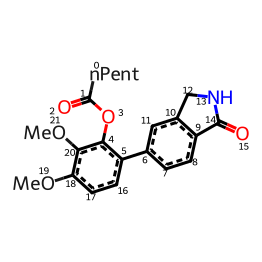 CCCCCC(=O)Oc1c(-c2ccc3c(c2)CNC3=O)ccc(OC)c1OC